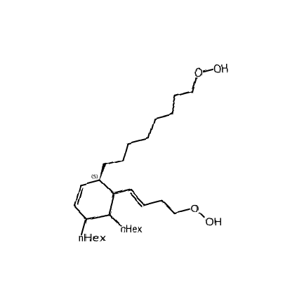 CCCCCCC1C=C[C@@H](CCCCCCCCOO)C(C=CCCOO)C1CCCCCC